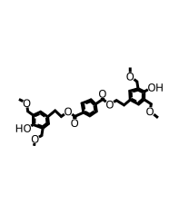 COCc1cc(CCOC(=O)c2ccc(C(=O)OCCc3cc(COC)c(O)c(COC)c3)cc2)cc(COC)c1O